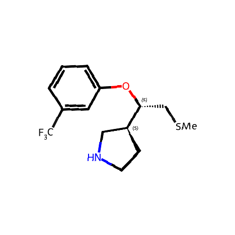 CSC[C@@H](Oc1cccc(C(F)(F)F)c1)[C@H]1CCNC1